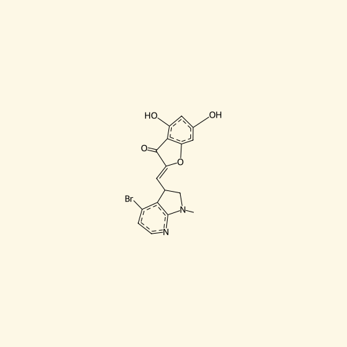 CN1CC(/C=C2\Oc3cc(O)cc(O)c3C2=O)c2c(Br)ccnc21